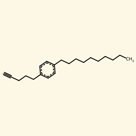 [C]#CCCCc1ccc(CCCCCCCCCC)cc1